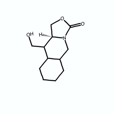 O=C1OC[C@@H]2C(CO)C3CCCCC3CN12